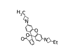 CCC1CN(c2ccc3c(c2)Oc2cc(N4CC(C)C4)ccc2C32OC(=O)c3ccccc32)C1